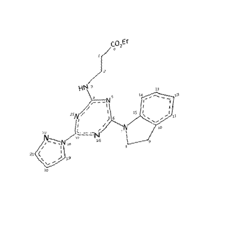 CCOC(=O)CCNc1nc(N2CCc3ccccc32)nc(-n2cccn2)n1